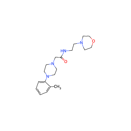 Cc1ccccc1N1CCN(CC(=O)NCCN2CCOCC2)CC1